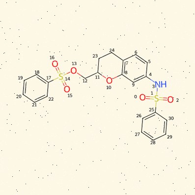 O=S(=O)(Nc1ccc2c(c1)OC(COS(=O)(=O)c1ccccc1)CC2)c1ccccc1